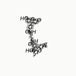 C=c1ccc2c(c1)Oc1cc(N(C)C)ccc1C=2c1ccc(C(=O)NCCCCCNC(=O)c2ccc(-c3c4ccc(=O)cc-4oc4cc(O)ccc34)cc2)cc1C(=O)O